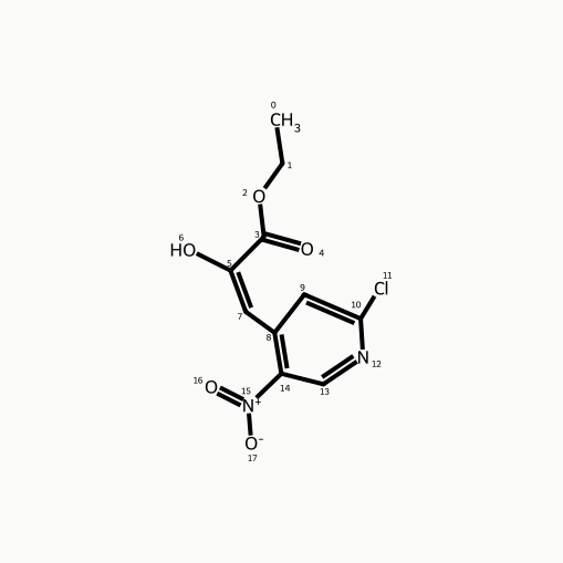 CCOC(=O)/C(O)=C\c1cc(Cl)ncc1[N+](=O)[O-]